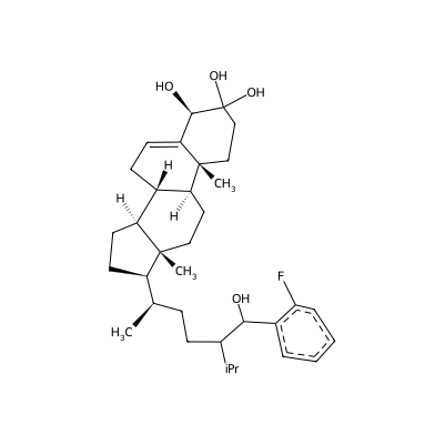 CC(C)C(CC[C@@H](C)[C@H]1CC[C@H]2[C@@H]3CC=C4[C@@H](O)C(O)(O)CC[C@]4(C)[C@H]3CC[C@]12C)C(O)c1ccccc1F